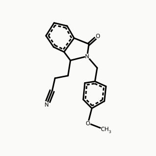 COc1ccc(CN2C(=O)c3ccccc3C2CCC#N)cc1